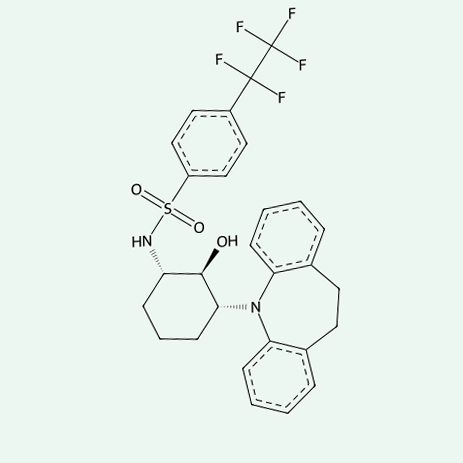 O=S(=O)(N[C@H]1CCC[C@@H](N2c3ccccc3CCc3ccccc32)[C@@H]1O)c1ccc(C(F)(F)C(F)(F)F)cc1